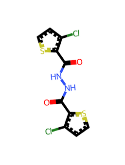 O=C(NNC(=O)c1sccc1Cl)c1sccc1Cl